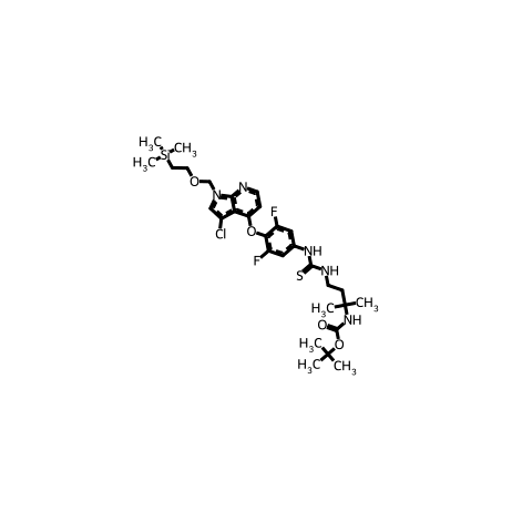 CC(C)(CCNC(=S)Nc1cc(F)c(Oc2ccnc3c2c(Cl)cn3COCC[Si](C)(C)C)c(F)c1)NC(=O)OC(C)(C)C